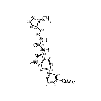 COc1cccc(-c2ccc3c(NC(=O)NCCC4CCCN4C)n[nH]c3c2)c1